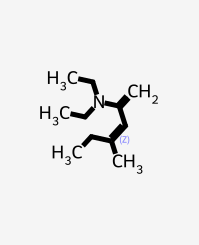 C=C(/C=C(/C)CC)N(CC)CC